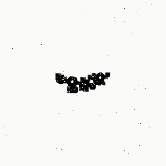 C[C@]12C[C@@H](Oc3cnc(-c4ccc(-n5ccnc5)cc4O)nn3)[C@H](F)[C@](C)(C[C@H]1F)C2